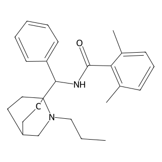 CCCN1CC2CCC1(C(NC(=O)c1c(C)cccc1C)c1ccccc1)CC2